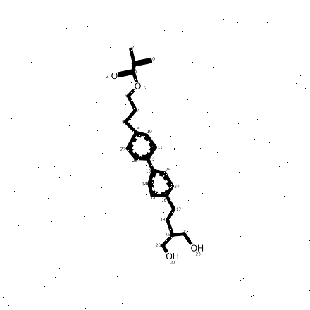 C=C(C)C(=O)OCCCc1ccc(-c2ccc(CCC(CO)CO)cc2)cc1